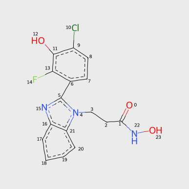 O=C(CCn1c(-c2ccc(Cl)c(O)c2F)nc2ccccc21)NO